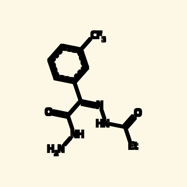 CCC(=O)NN=C(C(=O)NN)c1cccc(C(F)(F)F)c1